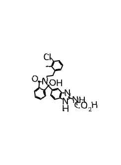 Cc1c(Cl)cccc1CCN1C(=O)c2ccccc2C1(O)c1ccc2[nH]c(NC(=O)O)nc2c1